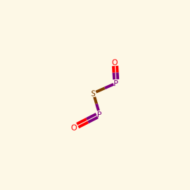 O=PSP=O